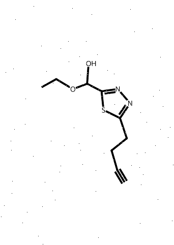 C#CCCc1nnc(C(O)OCC)s1